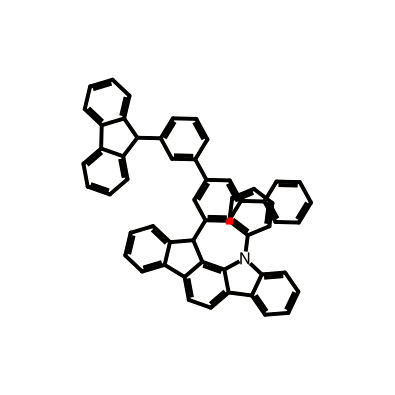 c1ccc(-c2cc(-c3cccc(C4c5ccccc5-c5ccccc54)c3)cc(C3c4ccccc4-c4ccc5c6ccccc6n(-c6ccccc6)c5c43)c2)cc1